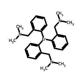 CN(C)Cc1cccc[c]1[Er]([c]1ccccc1CN(C)C)[c]1ccccc1CN(C)C